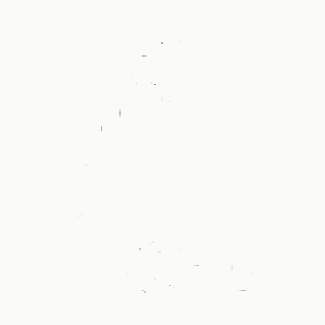 Nc1ncnc2c1c(-c1ccc(Oc3ccccc3)cc1)nn2C1CCN(C(=O)C2CCN(CCNc3ccc4c(c3)C(=O)N(C3CCC(=O)NC3=O)C4=O)CC2)CC1